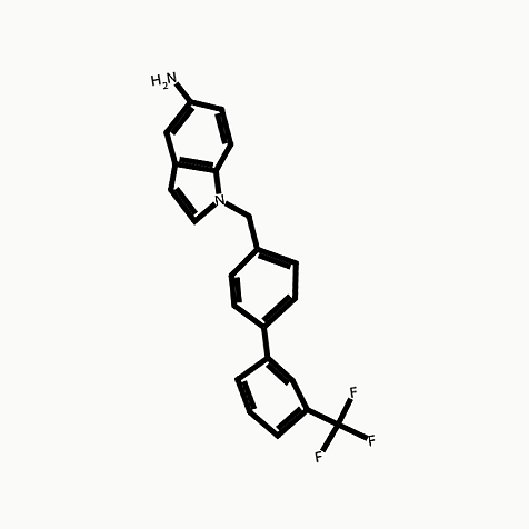 Nc1ccc2c(ccn2Cc2ccc(-c3cccc(C(F)(F)F)c3)cc2)c1